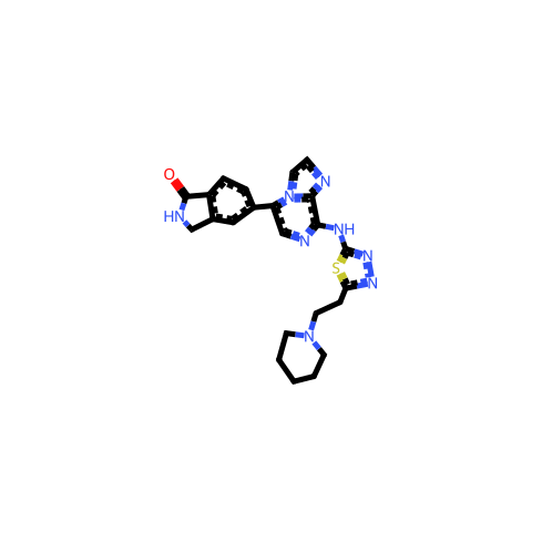 O=C1NCc2cc(-c3cnc(Nc4nnc(CCN5CCCCC5)s4)c4nccn34)ccc21